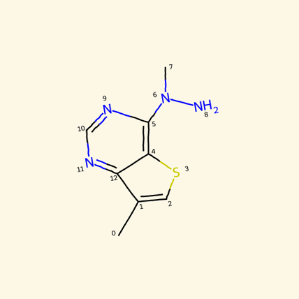 Cc1csc2c(N(C)N)ncnc12